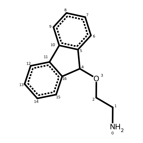 NCCOC1c2ccccc2-c2ccccc21